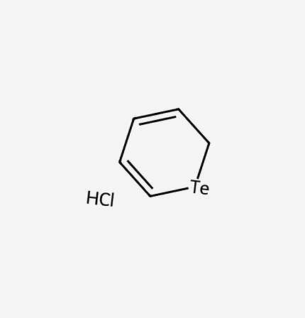 C1=CC[Te]C=C1.Cl